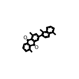 Cc1cccc2c1C(=O)c1cc(-c3ccc4c(C)cccc4c3C)cc(C)c1C2=O